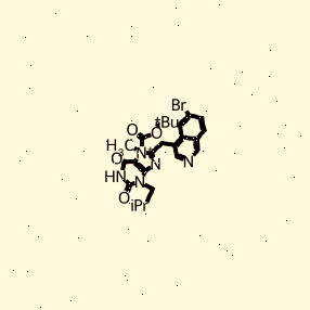 CC(C)Cn1c2c(c(=O)[nH]c1=O)[N+](C)(C(=O)OC(C)(C)C)C(Cc1cncc3ccc(Br)cc13)=N2